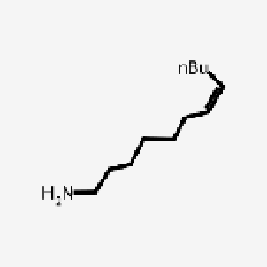 CCCC/C=C\CCCCCCN